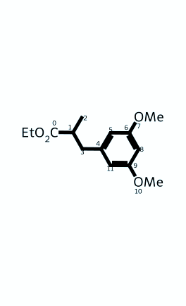 CCOC(=O)C(C)Cc1cc(OC)cc(OC)c1